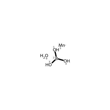 O.OB(O)O.[Mn]